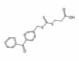 O=C(O)CCSC(=S)SCc1ccc(C(=O)c2ccccc2)cc1